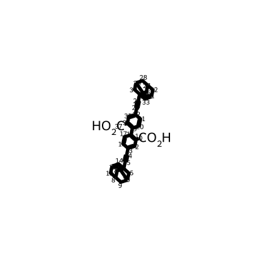 O=C(O)c1cc(C#CC23CC4CC(CC(C4)C2)C3)ccc1-c1ccc(C#CC23CC4CC(CC(C4)C2)C3)cc1C(=O)O